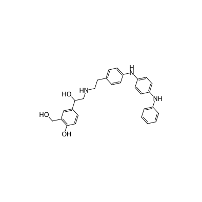 OCc1cc(C(O)CNCCc2ccc(Nc3ccc(Nc4ccccc4)cc3)cc2)ccc1O